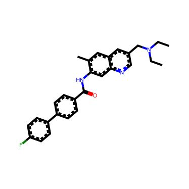 CCN(CC)Cc1cnc2cc(NC(=O)c3ccc(-c4ccc(F)cc4)cc3)c(C)cc2c1